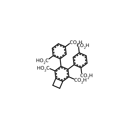 O=C(O)c1ccc(C(=O)O)c(-c2c(C(=O)O)c3c(c(C(=O)O)c2-c2cc(C(=O)O)ccc2C(=O)O)CC3)c1